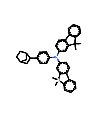 CC1(C)c2ccccc2-c2ccc(N(c3ccc(C4CC5CCC4C5)cc3)c3ccc4c(c3)[Si](C)(C)c3ccccc3-4)cc21